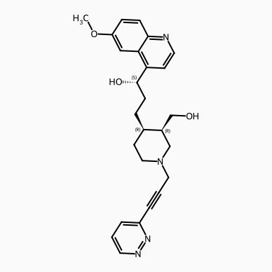 COc1ccc2nccc([C@@H](O)CC[C@@H]3CCN(CC#Cc4cccnn4)C[C@@H]3CO)c2c1